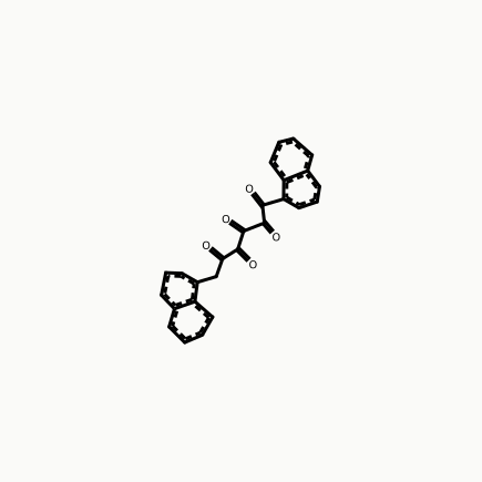 O=C(Cc1cccc2ccccc12)C(=O)C(=O)C(=O)C(=O)c1cccc2ccccc12